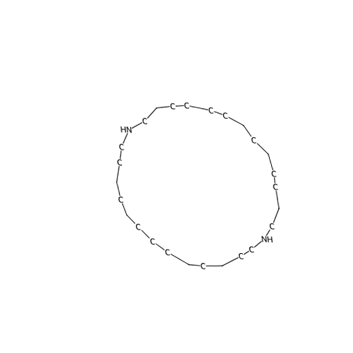 C1CCCCCCNCCCCCCCCCCCCCNCCCCCC1